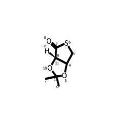 CC1(C)OC2CSC(=O)[C@H]2O1